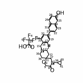 O=C(O)C(F)(F)F.O=C1COC2(CCN(Cc3c(F)cc(-c4ccc5cc(O)ccc5c4)cc3F)CC2)CN1C1CC1